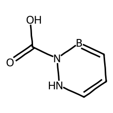 O=C(O)N1B=CC=CN1